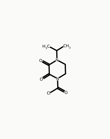 CC(C)N1CCN(C(=O)Cl)C(=O)C1=O